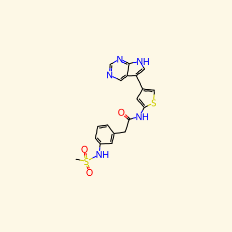 CS(=O)(=O)Nc1cccc(CC(=O)Nc2cc(-c3c[nH]c4ncncc34)cs2)c1